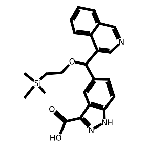 C[Si](C)(C)CCOC(c1ccc2[nH]nc(C(=O)O)c2c1)c1cncc2ccccc12